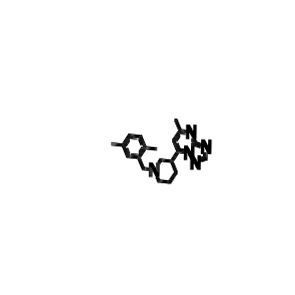 Cc1ccc(C)c(CN2CCCC(c3cc(C)nc4ncnn34)C2)c1